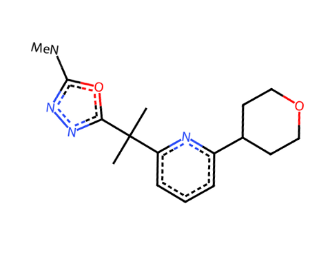 CNc1nnc(C(C)(C)c2cccc(C3CCOCC3)n2)o1